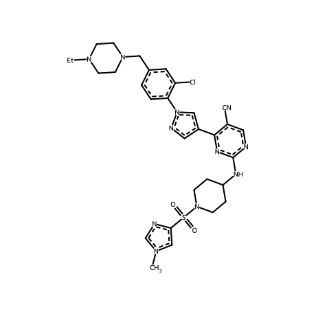 CCN1CCN(Cc2ccc(-n3cc(-c4nc(NC5CCN(S(=O)(=O)c6cn(C)cn6)CC5)ncc4C#N)cn3)c(Cl)c2)CC1